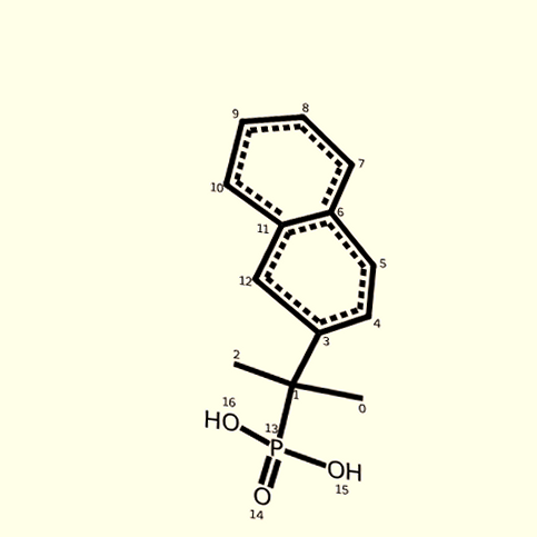 CC(C)(c1ccc2ccccc2c1)P(=O)(O)O